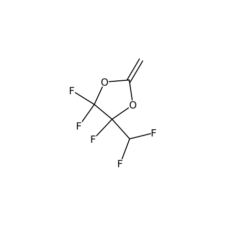 C=C1OC(F)(F)C(F)(C(F)F)O1